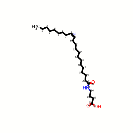 CCCCCCCC/C=C\CCCCCCCCCCCC(=O)NCCCC(=O)O